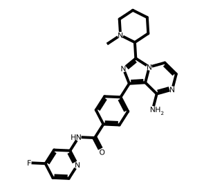 CN1CCCCC1c1nc(-c2ccc(C(=O)Nc3cc(F)ccn3)cc2)c2c(N)nccn12